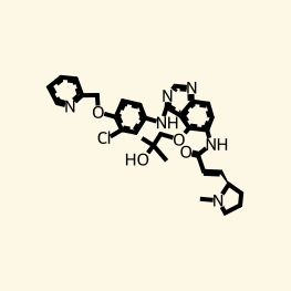 CN1CCC[C@@H]1/C=C/C(=O)Nc1ccc2ncnc(Nc3ccc(OCc4ccccn4)c(Cl)c3)c2c1OCC(C)(C)O